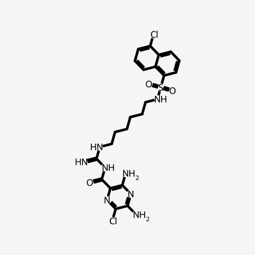 N=C(NCCCCCCNS(=O)(=O)c1cccc2c(Cl)cccc12)NC(=O)c1nc(Cl)c(N)nc1N